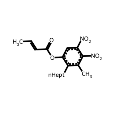 CC=CC(=O)Oc1cc([N+](=O)[O-])c([N+](=O)[O-])c(C)c1CCCCCCC